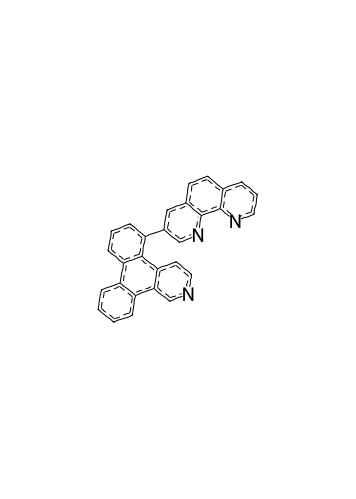 c1cnc2c(c1)ccc1cc(-c3cccc4c5ccccc5c5cnccc5c34)cnc12